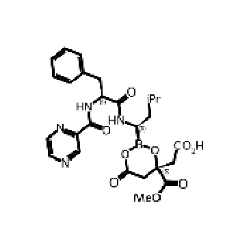 COC(=O)[C@]1(CC(=O)O)CC(=O)OB([C@H](CC(C)C)NC(=O)[C@H](Cc2ccccc2)NC(=O)c2cnccn2)O1